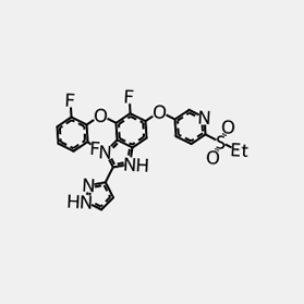 CCS(=O)(=O)c1ccc(Oc2cc3[nH]c(-c4cc[nH]n4)nc3c(Oc3c(F)cccc3F)c2F)cn1